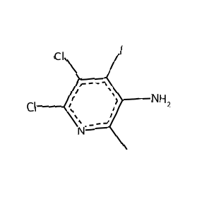 Cc1nc(Cl)c(Cl)c(I)c1N